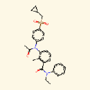 CCN(C(=O)c1cccc(N(C(C)=O)c2ccc(S(=O)(=O)CC3CC3)cc2)c1C)c1ccccc1